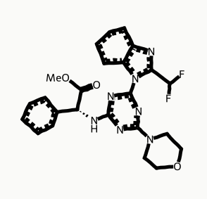 COC(=O)[C@H](Nc1nc(N2CCOCC2)nc(-n2c(C(F)F)nc3ccccc32)n1)c1ccccc1